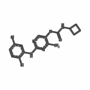 O=C(NC1CCC1)Oc1cnc(Nc2cc(Cl)ccc2Cl)nc1C(F)(F)F